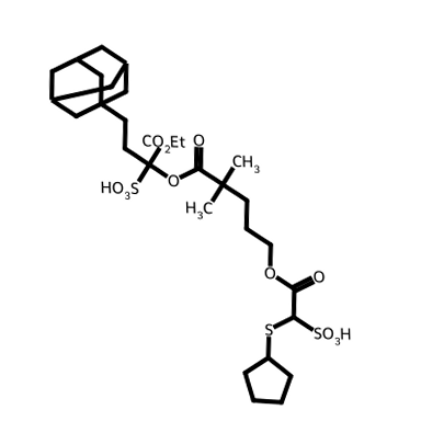 CCOC(=O)C(CCC12CC3CC(CC(C3)C1)C2)(OC(=O)C(C)(C)CCCOC(=O)C(SC1CCCC1)S(=O)(=O)O)S(=O)(=O)O